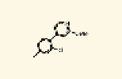 COc1cc(-c2ccc(C)cc2Cl)ccn1